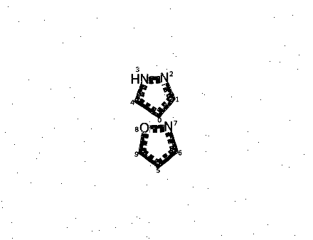 c1cn[nH]c1.c1cnoc1